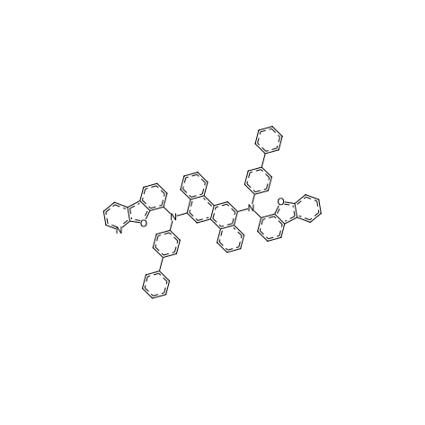 c1ccc(-c2ccc(N(c3cc4c5ccccc5c(N(c5ccc(-c6ccccc6)cc5)c5cccc6c5oc5ncccc56)cc4c4ccccc34)c3cccc4c3oc3ccccc34)cc2)cc1